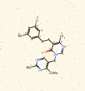 COc1nc(C(C)(C)C)ncc1Cn1cnc(C(F)(F)F)c(CCc2cc(Cl)cc(C#N)c2)c1=O